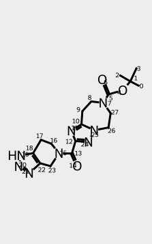 CC(C)(C)OC(=O)N1CCc2nc(C(=O)N3CCc4[nH]nnc4C3)nn2CC1